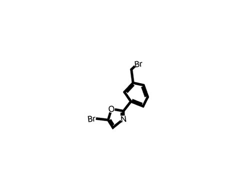 BrCc1cccc(-c2ncc(Br)o2)c1